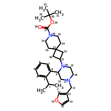 CC(C)c1ccccc1C1CN(Cc2ccoc2)CCN1C1CC2(CCN(C(=O)OC(C)(C)C)CC2)C1